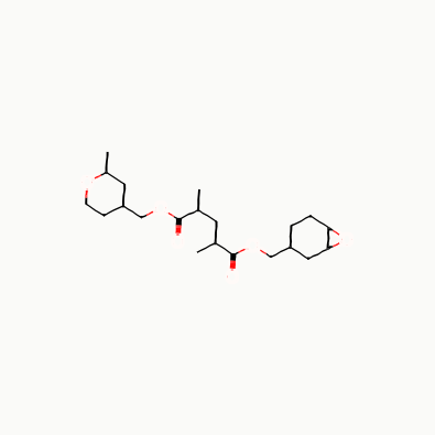 CC1CC(COC(=O)C(C)CC(C)C(=O)OCC2CCC3OC3C2)CCO1